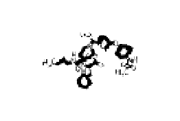 CCCCNC(=O)C1(N[C@@H](CC2CCCCC2)C(=O)O)CCN(Cc2ccc(Oc3ccc(NS(C)(=O)=O)cc3)cc2)CC1.Cl